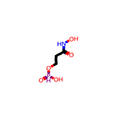 O=C(CCO[PH](=O)O)NO